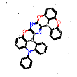 c1ccc(N2c3ccccc3B3c4nc5c(nc4Oc4cccc2c43)Oc2cccc3c2B5c2ccccc2O3)cc1